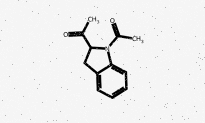 CC(=O)C1Cc2ccccc2N1C(C)=O